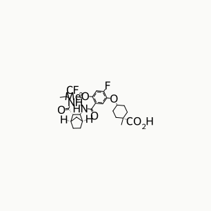 COc1cc(F)c(O[C@H]2CC[C@@](C)(C(=O)O)CC2)cc1C(=O)N[C@@H]1[C@H]2CC[C@H](C2)[C@@H]1C(=O)N[C@H](C)C(F)(F)F